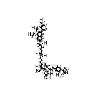 Cc1ncsc1-c1ccc(CNC(=O)[C@@H]2C[C@@H](O)CN2C(=O)[C@@H](NC(=O)CCCNC(=O)CCCC(=O)Nc2cc3cc(-c4cncc(N)c4C)c(F)c(N)c3cn2)C(C)(C)C)cc1